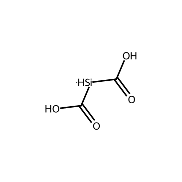 O=C(O)[SiH]C(=O)O